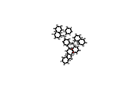 c1ccc(N(c2ccc(-c3ccc4sc5ccccc5c4c3)c(N(c3ccccc3)c3cccc4ccccc34)c2)c2cccc3ccccc23)cc1